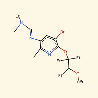 CCCOC(CC)C(CC)(CC)Oc1nc(C)c(N=CN(C)CC)cc1Br